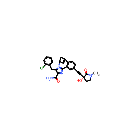 CN1CC[C@@](O)(C#Cc2ccc3c(c2)-c2nc(C(N)=O)c(Cc4ccccc4Cl)n2C2C=C3C2)C1=O